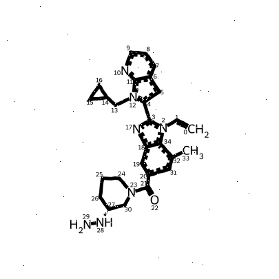 C=Cn1c(-c2cc3cccnc3n2CC2CC2)nc2cc(C(=O)N3CCC[C@@H](NN)C3)cc(C)c21